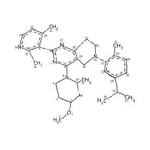 COC1CCN(c2nc(-c3c(C)ccnc3C)nc3c2CN(c2cc(C(C)C)ccc2C)CC3)C(C)C1